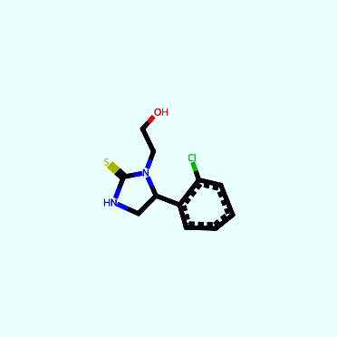 OCCN1C(=S)NCC1c1ccccc1Cl